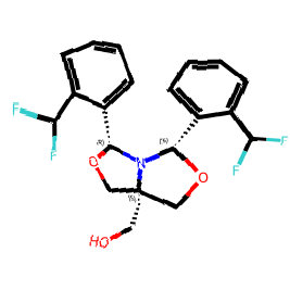 OC[C@]12CO[C@H](c3ccccc3C(F)F)N1[C@H](c1ccccc1C(F)F)OC2